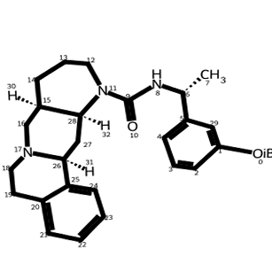 CC(C)COc1cccc([C@@H](C)NC(=O)N2CCC[C@@H]3CN4CCc5ccccc5[C@@H]4C[C@@H]32)c1